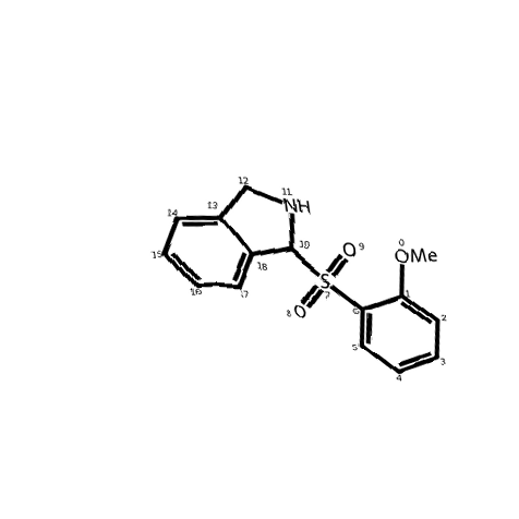 COc1ccccc1S(=O)(=O)C1NCc2ccccc21